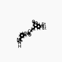 CCN(CC)c1ccc2c(c1)OC(=O)CC2CCCOC(=O)NCc1cccc(-c2c[nH]cn2)c1